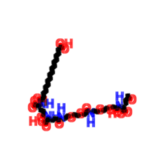 CC(=O)CC[C@H](NC(=O)COCCOCCNC(=O)COCCOCCNC(=O)CC[C@H](NC(=O)CC[C@H](NC(=O)CCCCCCCCCCCCCCCCC(=O)O)C(=O)O)C(=O)O)C(=O)O